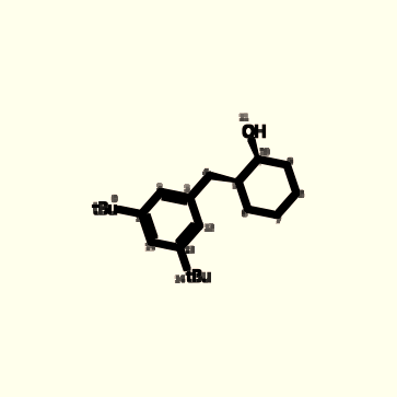 CC(C)(C)c1cc(C[C@@H]2CCCC[C@@H]2O)cc(C(C)(C)C)c1